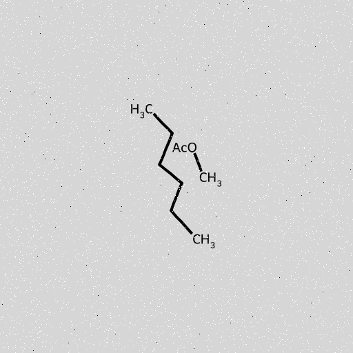 CCCCCC.COC(C)=O